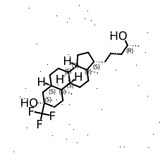 C[C@@H](O)CCC[C@H]1CC[C@H]2[C@@H]3CC[C@H]4C[C@](O)(C(F)(F)F)CC[C@]4(C)[C@H]3CC[C@]12C